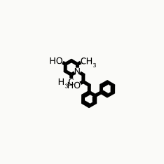 CC1CC(O)CC(C)N1CC(O)Cc1ccccc1-c1ccccc1